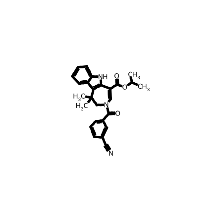 CC(C)OC(=O)C1=CN(C(=O)c2cccc(C#N)c2)CC(C)(C)c2c1[nH]c1ccccc21